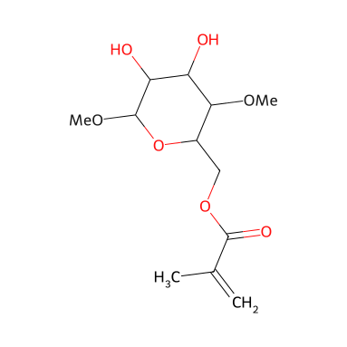 C=C(C)C(=O)OCC1OC(OC)C(O)C(O)C1OC